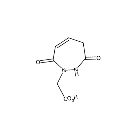 O=C(O)CN1NC(=O)CC=CC1=O